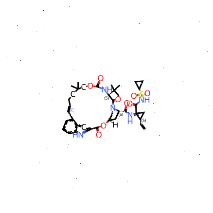 C=C[C@@H]1C[C@]1(NC(=O)[C@@H]1C[C@@H]2CN1C(=O)[C@H](C(C)(C)C)NC(=O)OCC(C)(C)CC/C=C/c1cccc3[nH]c(cc13)C(=O)O2)C(=O)NS(=O)(=O)C1CC1